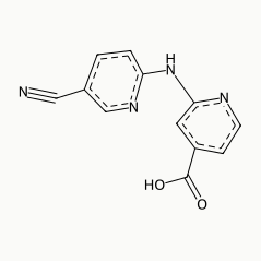 N#Cc1ccc(Nc2cc(C(=O)O)ccn2)nc1